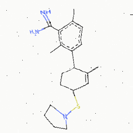 CC1=CC(SN2CCCC2)CCC1c1ccc(C)c(C(=N)N)c1C